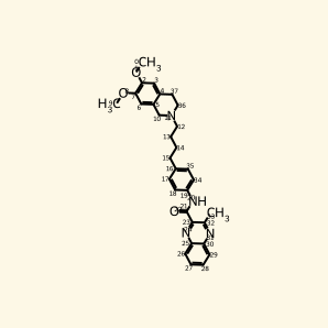 COc1cc2c(cc1OC)CN(CCCCc1ccc(NC(=O)c3nc4ccccc4nc3C)cc1)CC2